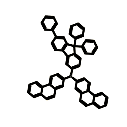 c1ccc(-c2ccc3c(c2)C(c2ccccc2)(c2ccccc2)c2ccc(N(c4ccc5c(ccc6ccccc65)c4)c4ccc5c(ccc6ccccc65)c4)cc2-3)cc1